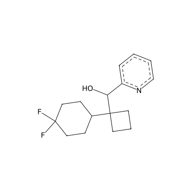 OC(c1ccccn1)C1(C2CCC(F)(F)CC2)CCC1